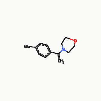 C=C(c1ccc(C(C)(C)C)cc1)N1CCOCC1